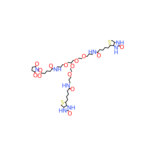 O=C(CCCCC1SCC2NC(=O)NC21)NCCCOCCOCC(COCCCNC(=O)CCCC(=O)ON1C(=O)CCC1=O)OCCOCCCNC(=O)CCCCC1SCC2NC(=O)NC21